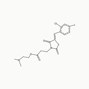 CN(C)CCOC(=O)CCN1C(=O)/C(=C/c2ccc(I)cc2Cl)SC1=S